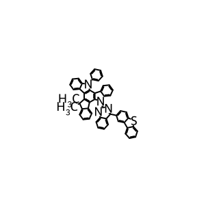 CC1(C)c2ccccc2-c2c1c1c3ccccc3n(-c3ccccc3)c1c1c3ccccc3n(-c3nc(-c4ccc5sc6ccccc6c5c4)c4ccccc4n3)c21